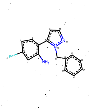 Nc1cc(F)ccc1-c1ccnn1Cc1ccccc1